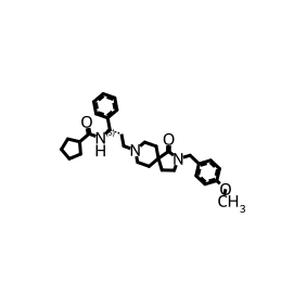 COc1ccc(CN2CCC3(CCN(CC[C@H](NC(=O)C4CCCC4)c4ccccc4)CC3)C2=O)cc1